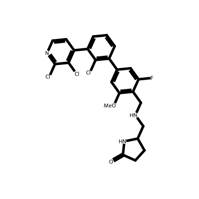 COc1cc(-c2cccc(-c3ccnc(Cl)c3Cl)c2Cl)cc(F)c1CNCC1CCC(=O)N1